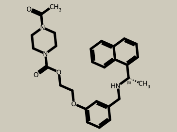 CC(=O)N1CCN(C(=O)OCCOc2cccc(CN[C@@H](C)c3cccc4ccccc34)c2)CC1